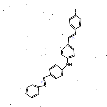 Cc1ccc(/C=C/c2ccc(Nc3ccc(/C=C/c4ccccc4)cc3)cc2)cc1